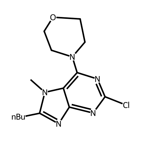 CCCCc1nc2nc(Cl)nc(N3CCOCC3)c2n1C